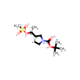 C[C@@H](OS(C)(=O)=O)[C@H]1CCN(C(=O)OC(C)(C)C)C1